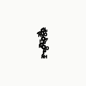 CCOc1ccnc(F)c1C(=O)Nc1cc(F)c(Oc2ccnc3cc(OCCCNC)c(OC)cc23)c(F)c1